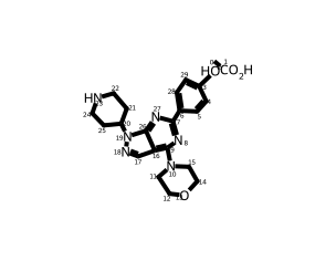 CC(=O)O.Oc1ccc(-c2nc(N3CCOCC3)c3cnn(C4CCNCC4)c3n2)cc1